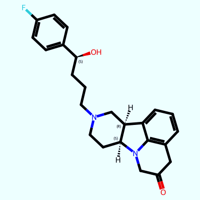 O=C1Cc2cccc3c2N(C1)[C@H]1CCN(CCC[C@H](O)c2ccc(F)cc2)C[C@@H]31